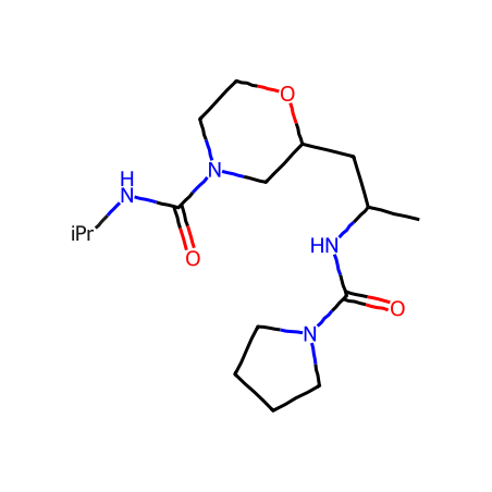 CC(C)NC(=O)N1CCOC(CC(C)NC(=O)N2CCCC2)C1